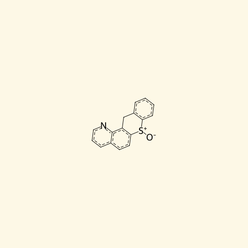 [O-][S+]1c2ccccc2Cc2c1ccc1cccnc21